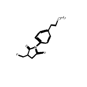 CCCc1ccc(N2C(=O)CC(CF)C2=O)cc1